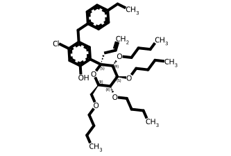 C=CC[C@@]1(c2cc(Cc3ccc(CC)cc3)c(Cl)cc2O)O[C@H](COCCCC)[C@@H](OCCCC)[C@H](OCCCC)[C@H]1OCCCC